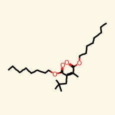 CCCCCCCCOC(=O)/C(C)=C(/CC(C)(C)C)C(=O)OCCCCCCCC